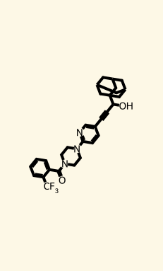 O=C(c1ccccc1C(F)(F)F)N1CCN(c2ccc(C#CC(O)C34CC5CC(CC(C5)C3)C4)cn2)CC1